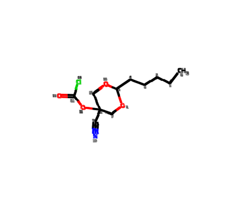 CCCCCC1OCC(C#N)(OC(=O)Cl)CO1